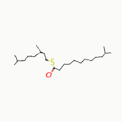 CC(C)CCCCCCCCCC(=O)SCCC(C)CCCC(C)C